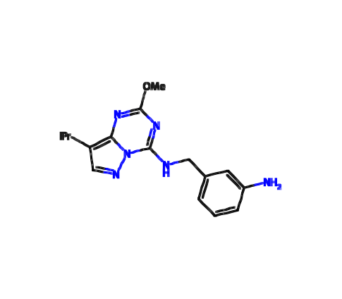 COc1nc(NCc2cccc(N)c2)n2ncc(C(C)C)c2n1